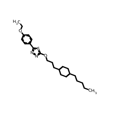 CCCCCC1CCC(CCCOc2nnc(-c3ccc(OCC)cc3)s2)CC1